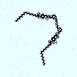 CCCCCCCC/C=C\CCCCCCCC(=O)Nc1ccc(CC(=O)OCC2CCCN(CCSSCCN3CCCC(COC(=O)Cc4ccc(OC(=O)CCCCCCC/C=C\CCCCCCCC)cc4)C3)C2)cc1